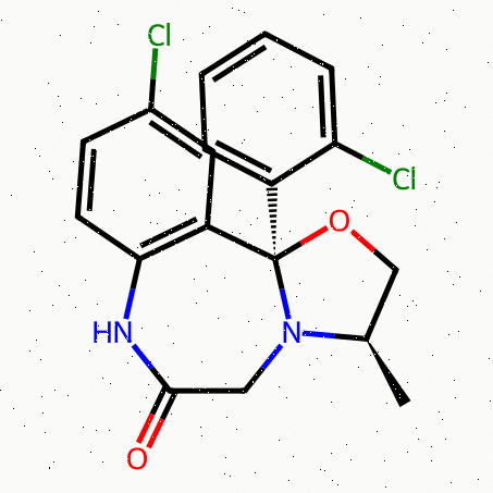 C[C@@H]1CO[C@]2(c3ccccc3Cl)c3cc(Cl)ccc3NC(=O)CN12